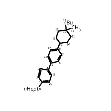 CCCCCCCc1ccc(-c2ccc(C3CCC(C)(CCCC)CC3)cc2)cc1